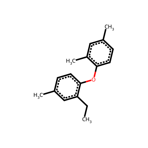 CCc1cc(C)ccc1Oc1ccc(C)cc1C